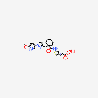 COc1ccc(-n2ccc(CC3(C(=O)Nc4cc(/C=C/C(=O)O)cs4)CCCCC3)n2)cn1